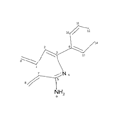 C=C/C=C(\N=C(\N)C=C)C(/C=C\C)=C/C